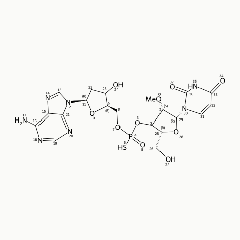 CO[C@H]1C(OP(=O)(S)OC[C@H]2O[C@@H](n3cnc4c(N)ncnc43)CC2O)[C@@H](CO)O[C@H]1n1ccc(=O)[nH]c1=O